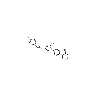 O=C1COCCN1c1ccc(N2C[C@@H](CN=Cc3ccc(Br)cc3)OC2=O)cc1